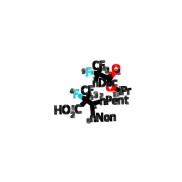 CCCCCCCCCC(CCCCC)C(F)(C(=O)O)C(F)(F)F.CCCCCCCCCCC(F)(C(=O)OC(C)C)C(F)(F)F